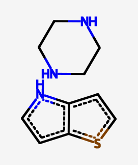 C1CNCCN1.c1cc2sccc2[nH]1